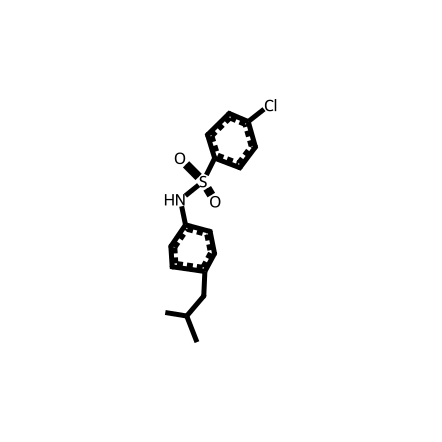 CC(C)Cc1ccc(NS(=O)(=O)c2ccc(Cl)cc2)cc1